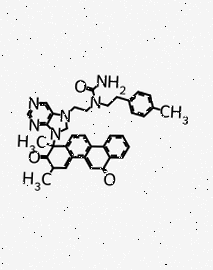 Cc1ccc(CCN(CCN2CN(C3(C)C(=O)C(C)C=c4c3ccc3c4=CC(=O)c4ccccc4-3)c3ncncc32)C(N)=O)cc1